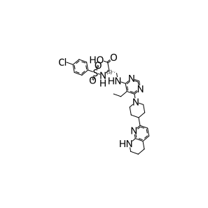 CCc1c(NC[C@H](NS(=O)(=O)c2ccc(Cl)cc2)C(=O)O)ncnc1N1CCC(c2ccc3c(n2)NCCC3)CC1